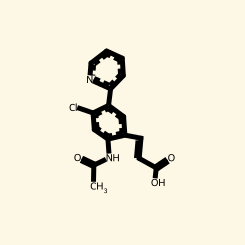 CC(=O)Nc1cc(Cl)c(-c2ccccn2)cc1/C=C/C(=O)O